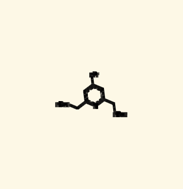 [CH2]CCc1cc(CCCCCCCCCCC)nc(CCCCCCCCCCC)c1